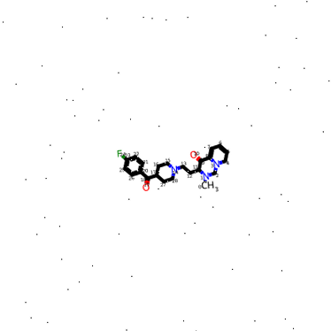 CN1CN2CC=CC=C2C(=O)C1CCN1CCC(C(=O)c2ccc(F)cc2)CC1